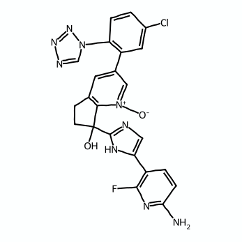 Nc1ccc(-c2cnc(C3(O)CCc4cc(-c5cc(Cl)ccc5-n5cnnn5)c[n+]([O-])c43)[nH]2)c(F)n1